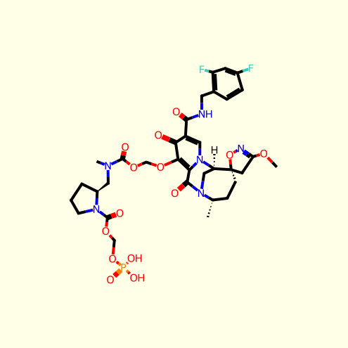 COC1=NO[C@@]2(CC[C@H](C)N3C[C@H]2n2cc(C(=O)NCc4ccc(F)cc4F)c(=O)c(OCOC(=O)N(C)C[C@@H]4CCCN4C(=O)OCOP(=O)(O)O)c2C3=O)C1